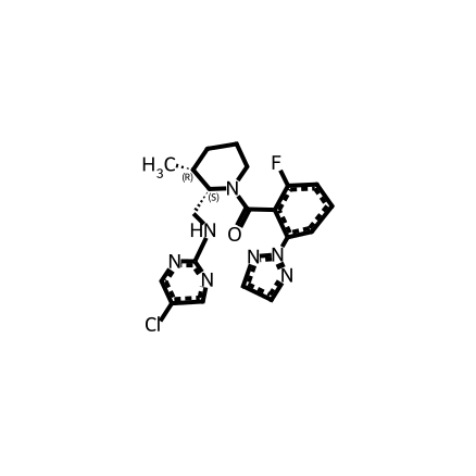 C[C@@H]1CCCN(C(=O)c2c(F)cccc2-n2nccn2)[C@@H]1CNc1ncc(Cl)cn1